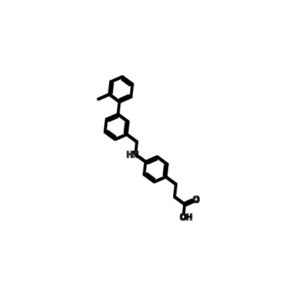 Cc1ccccc1-c1cccc(CNc2ccc(CCC(=O)O)cc2)c1